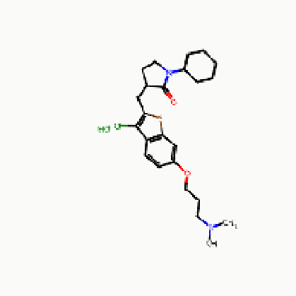 CN(C)CCCOc1ccc2c(Cl)c(CC3CCN(C4CCCCC4)C3=O)sc2c1.Cl